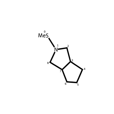 CSN1CC2CCCC2C1